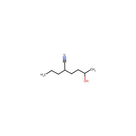 [CH2]CCC(C#N)CCC(C)O